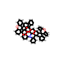 c1ccc(-c2ccc(-c3ccccc3N(c3ccccc3-c3cccc4c3-c3ccccc3C43c4ccccc4Oc4ccccc43)c3ccccc3-c3cccc4c3-c3ccccc3C43c4ccccc4Oc4ccccc43)cc2)cc1